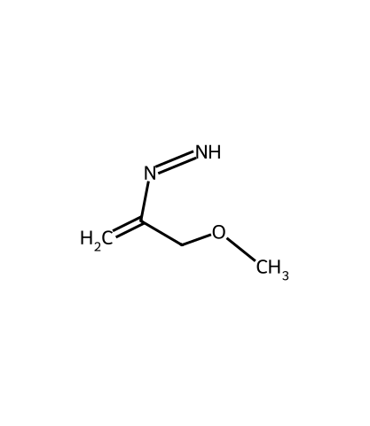 C=C(COC)N=N